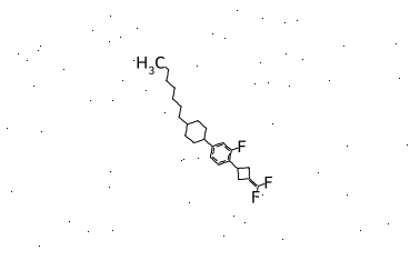 CCCCCCCC1CCC(c2ccc(C3CC(=C(F)F)C3)c(F)c2)CC1